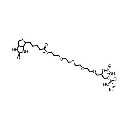 CCOP(=O)(O)OCC(COCCOCCOCCOCCCNC(=O)CCCCC1SCC2NC(=O)NC21)O[PH](=O)O